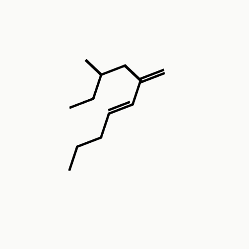 C=C(C=CCCC)CC(C)CC